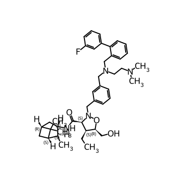 CC[C@@H]1[C@H](CO)ON(Cc2cccc(CN(CCN(C)C)Cc3ccccc3-c3cccc(F)c3)c2)[C@@H]1C(=O)N[C@H]1C[C@H]2C[C@@H]([C@@H]1C)C2(C)C